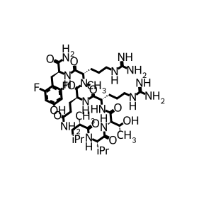 CC(C)C[C@H](C)C(=O)N[C@H](C(=O)N[C@H](C(=O)N[C@@H](CCCNC(=N)N)C(=O)N[C@@H](CCC(N)=O)C(=O)N(C)[C@@H](CCCNC(=N)N)C(=O)N[C@@H](Cc1c(F)cc(O)cc1F)C(N)=O)[C@@H](C)O)C(C)C